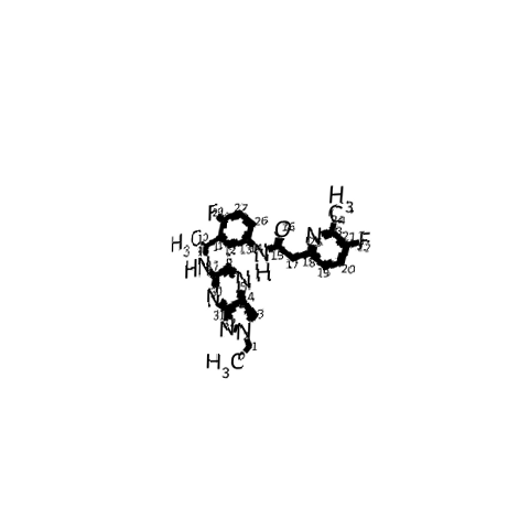 CCn1cc2ncc(N[C@@H](C)c3cc(NC(=O)Cc4ccc(F)c(C)n4)ccc3F)nc2n1